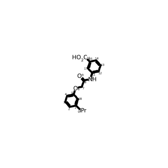 CC(C)c1cccc(OCC(=O)Nc2cccc(C(=O)O)c2)c1